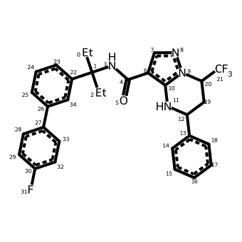 CCC(CC)(NC(=O)c1cnn2c1NC(c1ccccc1)CC2C(F)(F)F)c1cccc(-c2ccc(F)cc2)c1